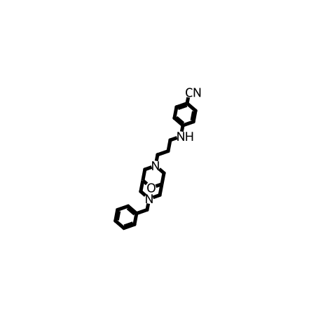 N#Cc1ccc(NCCCN2CC3CN(Cc4ccccc4)CC(C2)O3)cc1